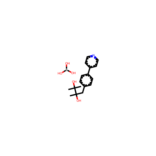 CC(C)(O)C(C)(O)Cc1ccc(-c2ccncc2)cc1.OB(O)O